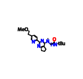 COCCc1ccc(-c2nc3c(c(N(C)CC(=O)NC(C)(C)C)n2)CCC3)nc1